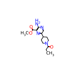 CCC(=O)N1CCC(c2cnc(N)c(C(=O)OC)n2)CC1